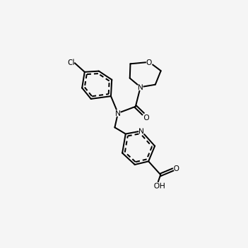 O=C(O)c1ccc(CN(C(=O)N2CCOCC2)c2ccc(Cl)cc2)nc1